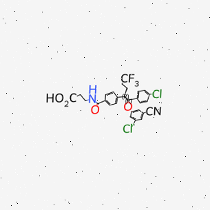 N#Cc1cc(Cl)cc(O[C@@H](c2ccc(Cl)cc2)[C@H](CCC(F)(F)F)c2ccc(C(=O)NCCC(=O)O)cc2)c1